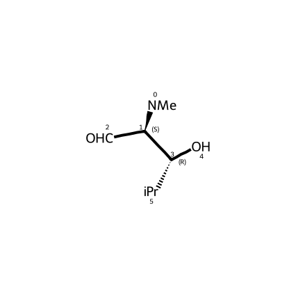 CN[C@H](C=O)[C@H](O)C(C)C